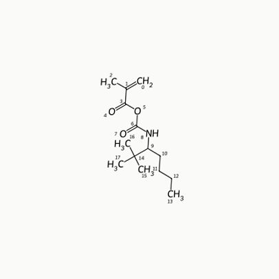 C=C(C)C(=O)OC(=O)NC(CCCC)C(C)(C)C